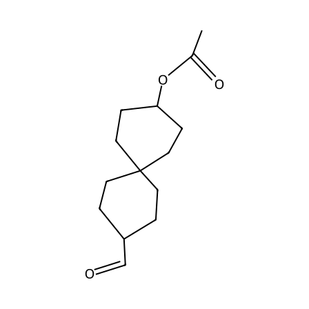 CC(=O)OC1CCC2(CCC(C=O)CC2)CC1